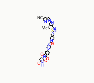 CNc1cc(-n2ccc3cc(C#N)cnc32)ncc1-c1nnc(N2CC3(CCN(C(=O)CN4CCN(c5ccc6c(c5)C(=O)N(C5CCC(=O)NC5=O)C6=O)CC4)CC3)C2)s1